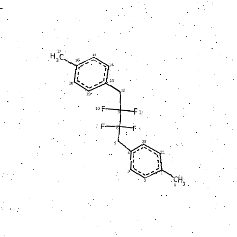 Cc1ccc(CC(F)(F)C(F)(F)Cc2ccc(C)cc2)cc1